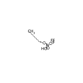 CCCCCCCCCCCCC#Cc1ccc(CN(CC(=O)O)Cc2ccc(C(F)(F)F)cc2)cc1